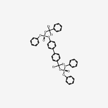 CCC(CC)(OP(=O)(Oc1ccccc1)Oc1ccc(-c2ccc(C(CC)(CC)OP(=O)(Oc3ccccc3)Oc3ccccc3)cc2)cc1)c1ccccc1